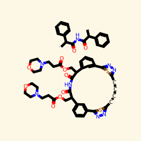 O=C(CCN1CCOCC1)OCC1C(=O)NC(=O)C(COC(=O)CCN2CCOCC2)c2cccc(c2)-c2nnc(s2)CCCCc2nnc(s2)-c2cccc1c2.[CH2]C(C(=O)NC(=O)C([CH2])c1ccccc1)c1ccccc1